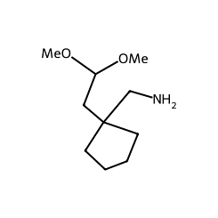 COC(CC1(CN)CCCC1)OC